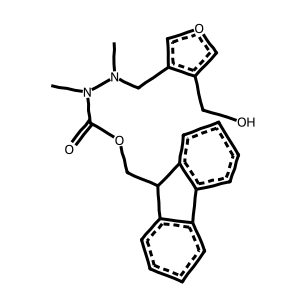 CN(Cc1cocc1CO)N(C)C(=O)OCC1c2ccccc2-c2ccccc21